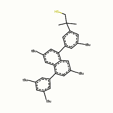 CC(C)(C)c1cc(-c2cc(C(C)(C)C)cc3c(-c4cc(C(C)(C)C)cc(C(C)(C)CS)c4)cc(C(C)(C)C)cc23)cc(C(C)(C)C)c1